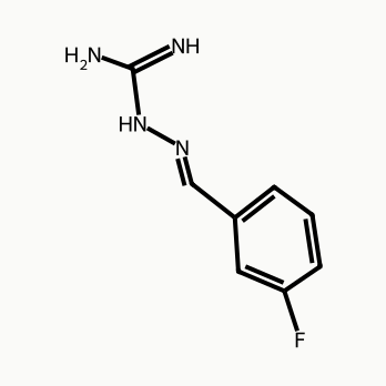 N=C(N)NN=Cc1cccc(F)c1